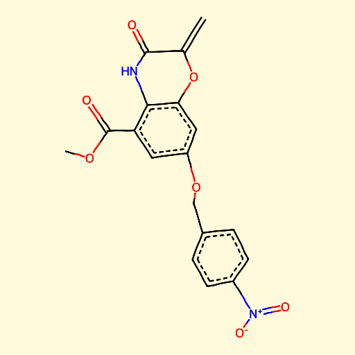 C=C1Oc2cc(OCc3ccc([N+](=O)[O-])cc3)cc(C(=O)OC)c2NC1=O